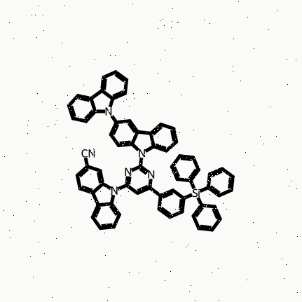 N#Cc1ccc2c3ccccc3n(-c3cc(-c4cccc([Si](c5ccccc5)(c5ccccc5)c5ccccc5)c4)nc(-n4c5ccccc5c5cc(-n6c7ccccc7c7ccccc76)ccc54)n3)c2c1